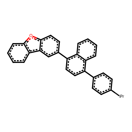 CC(C)c1ccc(-c2ccc(-c3ccc4oc5ccccc5c4c3)c3ccccc23)cc1